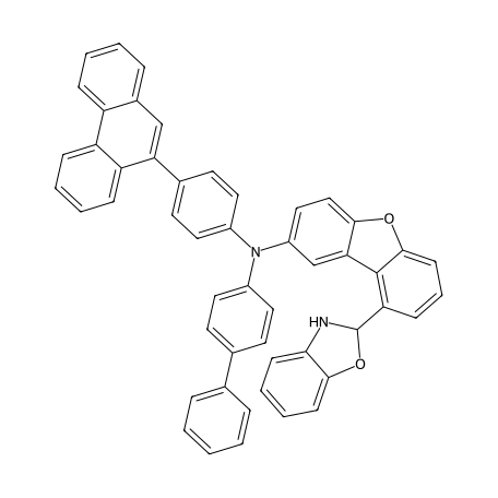 c1ccc(-c2ccc(N(c3ccc(-c4cc5ccccc5c5ccccc45)cc3)c3ccc4oc5cccc(C6Nc7ccccc7O6)c5c4c3)cc2)cc1